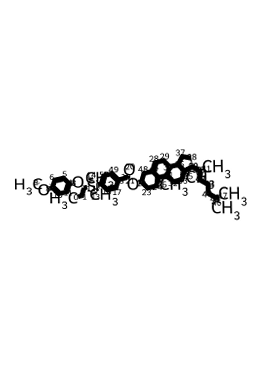 CCC(Oc1ccc(OC)cc1)[Si](C)(C)c1ccc(C(=O)OC2CC[C@@]3(C)C(=CCC4C3CC[C@@]3(C)C4CC[C@@H]3[C@H](C)CCCC(C)C)C2)cc1